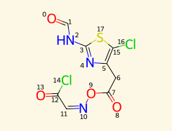 O=CNc1nc(CC(=O)O/N=C\C(=O)Cl)c(Cl)s1